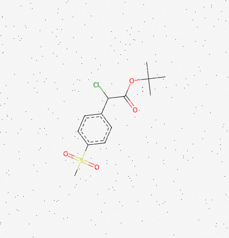 CC(C)(C)OC(=O)C(Cl)c1ccc(S(C)(=O)=O)cc1